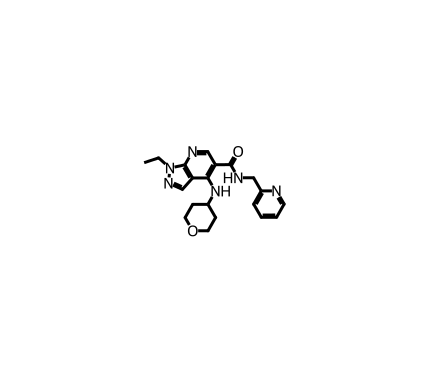 CCn1ncc2c(NC3CCOCC3)c(C(=O)NCc3ccccn3)cnc21